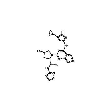 O=C(Nc1nccs1)[C@@H]1C[C@@H](O)CN1c1nc(Nc2cc(C3CC3)[nH]n2)n2cccc2n1